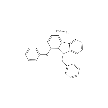 CCO.c1ccc(Oc2cccc3c2C(Oc2ccccc2)c2ccccc2-3)cc1